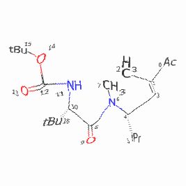 CC(=O)/C(C)=C/[C@H](C(C)C)N(C)C(=O)[C@@H](NC(=O)OC(C)(C)C)C(C)(C)C